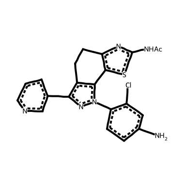 CC(=O)Nc1nc2c(s1)-c1c(c(-c3cccnc3)nn1-c1ccc(N)cc1Cl)CC2